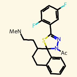 CNCCC1CCc2ccccc2C12SC(c1cc(F)ccc1F)=NN2C(C)=O